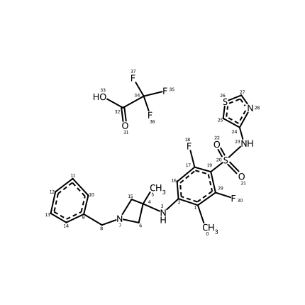 Cc1c(NC2(C)CN(Cc3ccccc3)C2)cc(F)c(S(=O)(=O)Nc2cscn2)c1F.O=C(O)C(F)(F)F